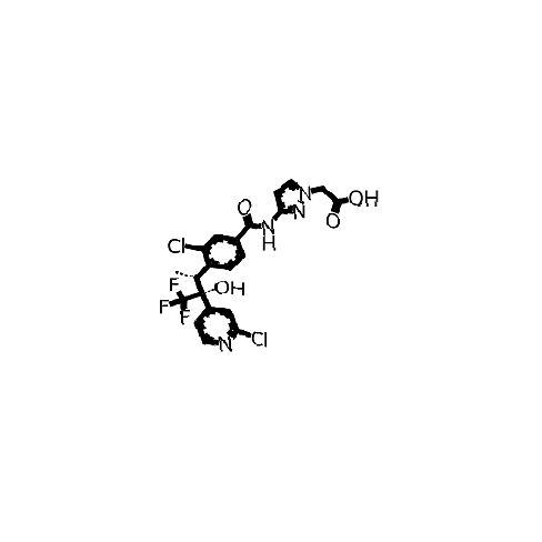 C[C@H](c1ccc(C(=O)Nc2ccn(CC(=O)O)n2)cc1Cl)[C@@](O)(c1ccnc(Cl)c1)C(F)(F)F